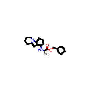 CC(C)[C@H](Nc1cccc2c1cc1n2CCCC1)C(=O)OCc1ccccc1